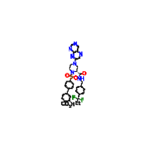 CCC(F)(F)c1ccc(CNC(=O)[C@H]2CN(c3cnc4cncnc4n3)CCN2S(=O)(=O)c2ccc(-c3cccc(C(=O)O)c3)cc2)cc1